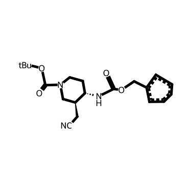 CC(C)(C)OC(=O)N1CC[C@H](NC(=O)OCc2ccccc2)[C@@H](CC#N)C1